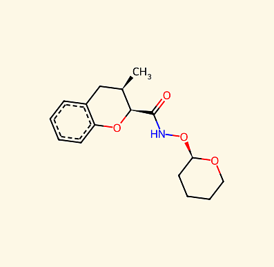 C[C@@H]1Cc2ccccc2O[C@@H]1C(=O)NO[C@@H]1CCCCO1